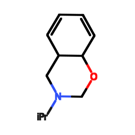 CC(C)N1COC2C=CC=CC2C1